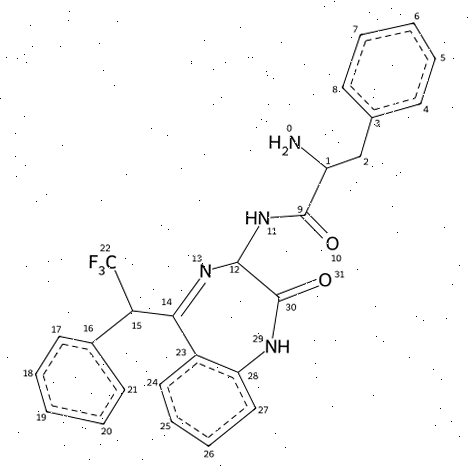 NC(Cc1ccccc1)C(=O)NC1N=C(C(c2ccccc2)C(F)(F)F)c2ccccc2NC1=O